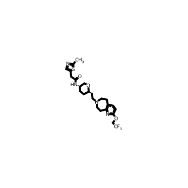 Cc1ncc(CC(=O)N[C@H]2CC[C@H](CCN3CCc4ccc(OCC(F)(F)F)nc4CC3)OC2)s1